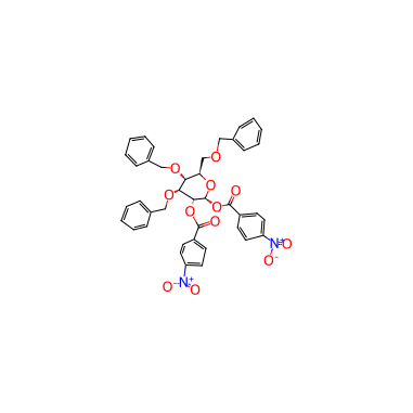 O=C(O[C@@H]1O[C@H](COCc2ccccc2)[C@H](OCc2ccccc2)[C@H](OCc2ccccc2)[C@H]1OC(=O)c1ccc([N+](=O)[O-])cc1)c1ccc([N+](=O)[O-])cc1